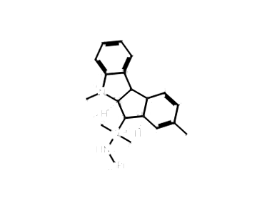 CC1=C[C@@H]2C(C=C1)C1c3ccccc3N(C)[C@@H]1C2[Si](C)(C)NC(C)C